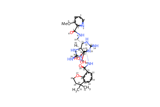 COc1cccnc1C(=O)NC[C@@H]1NC(=N)N2C[C@H](NC(=O)c3cccc4c3OCCC4(C)C)C(O)(O)[C@@]23NC(=N)N[C@@H]13